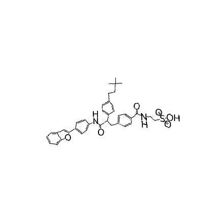 CC(C)(C)CCc1ccc(C(Cc2ccc(C(=O)NCCS(=O)(=O)O)cc2)C(=O)Nc2ccc(-c3cc4ccccc4o3)cc2)cc1